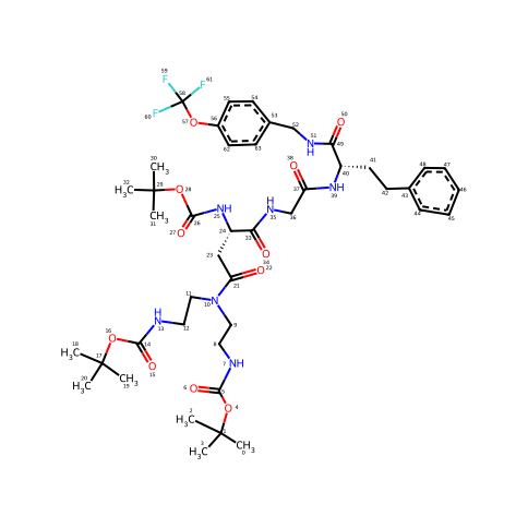 CC(C)(C)OC(=O)NCCN(CCNC(=O)OC(C)(C)C)C(=O)C[C@H](NC(=O)OC(C)(C)C)C(=O)NCC(=O)N[C@@H](CCc1ccccc1)C(=O)NCc1ccc(OC(F)(F)F)cc1